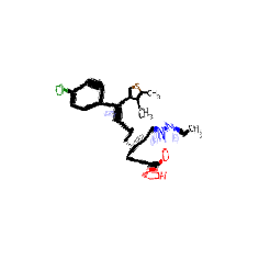 C/C=N/N=C/[C@@H](CC/C=C(/c1ccc(Cl)cc1)c1csc(C)c1C)CC(=O)O